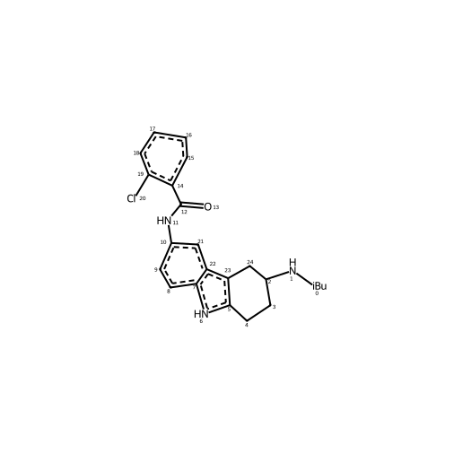 CCC(C)NC1CCc2[nH]c3ccc(NC(=O)c4ccccc4Cl)cc3c2C1